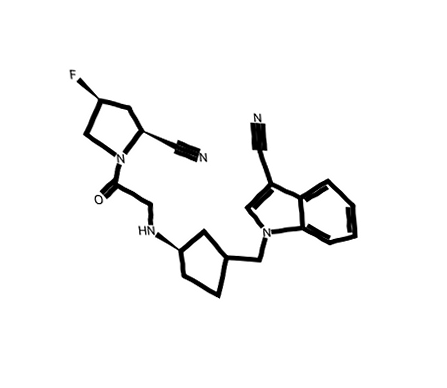 N#Cc1cn(CC2CC[C@@H](NCC(=O)N3C[C@@H](F)C[C@H]3C#N)C2)c2ccccc12